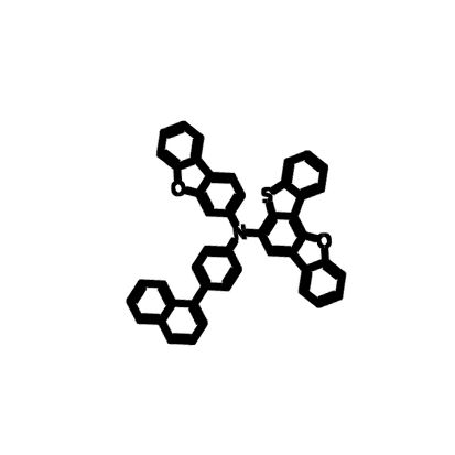 c1ccc2c(-c3ccc(N(c4ccc5c(c4)oc4ccccc45)c4cc5c6ccccc6oc5c5c4sc4ccccc45)cc3)cccc2c1